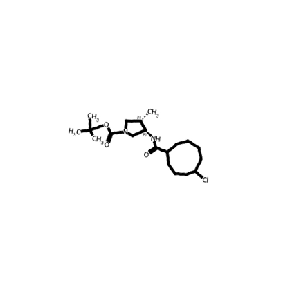 C[C@H]1CN(C(=O)OC(C)(C)C)C[C@@H]1NC(=O)C1CCCCC(Cl)CCC1